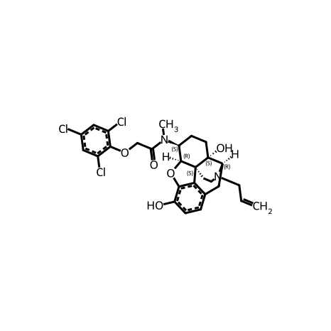 C=CCN1CC[C@]23c4c5ccc(O)c4O[C@H]2[C@@H](N(C)C(=O)COc2c(Cl)cc(Cl)cc2Cl)CC[C@@]3(O)[C@H]1C5